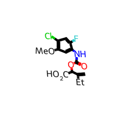 C=C(CC)C(OC(=O)Nc1cc(OC)c(Cl)cc1F)C(=O)O